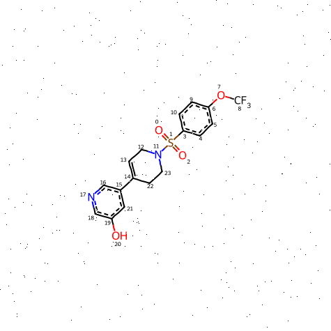 O=S(=O)(c1ccc(OC(F)(F)F)cc1)N1CC=C(c2cncc(O)c2)CC1